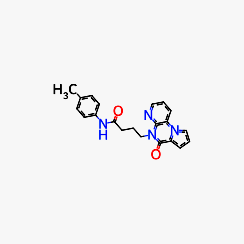 Cc1ccc(NC(=O)CCCn2c(=O)c3cccn3c3cccnc32)cc1